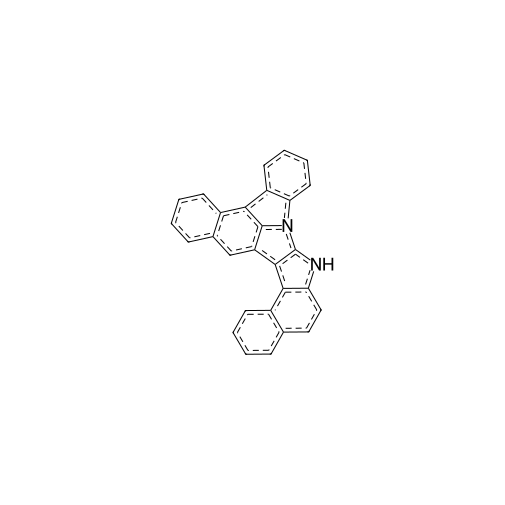 c1ccc2c(c1)ccc1[nH]c3c(c4cc5ccccc5c5c6ccccc6n3c45)c12